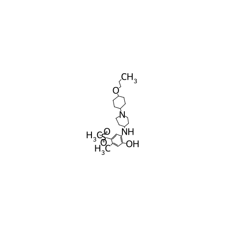 CCCOC1CCC(N2CCC(Nc3cc(S(C)(=O)=O)c(C)cc3O)CC2)CC1